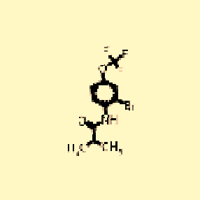 CC(C)C(=O)Nc1ccc(OC(F)(F)F)cc1Br